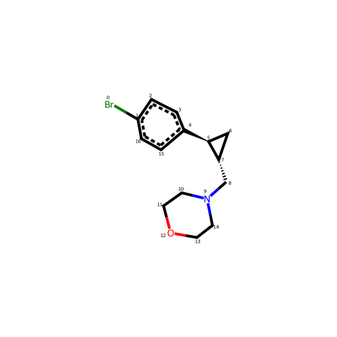 Brc1ccc([C@H]2C[C@@H]2CN2CCOCC2)cc1